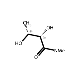 CNC(=O)[C@@H](O)[C@@H](C)O